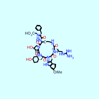 COc1ccc2c(C[C@@H]3NC(=O)[C@@H](C[C@H]4CC[C@@H](O)CC4)NC(=O)[C@@H]4C[C@@H](O)CN4C(=O)[C@@H](NC(=O)[C@H](Cc4ccccc4)NCC(=O)O)CCCNC(=O)[C@H](CCCNC(=N)N)NC3=O)c[nH]c2c1